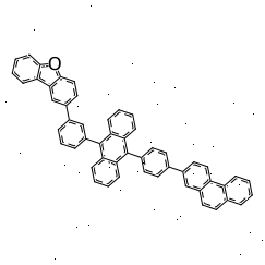 c1cc(-c2ccc3oc4ccccc4c3c2)cc(-c2c3ccccc3c(-c3ccc(-c4ccc5c(ccc6ccccc65)c4)cc3)c3ccccc23)c1